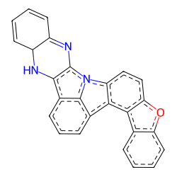 C1=CC2=Nc3c(c4cccc5c6c7c(ccc6n3c45)oc3ccccc37)NC2C=C1